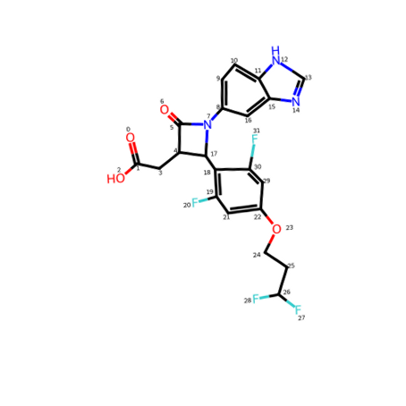 O=C(O)CC1C(=O)N(c2ccc3[nH]cnc3c2)C1c1c(F)cc(OCCC(F)F)cc1F